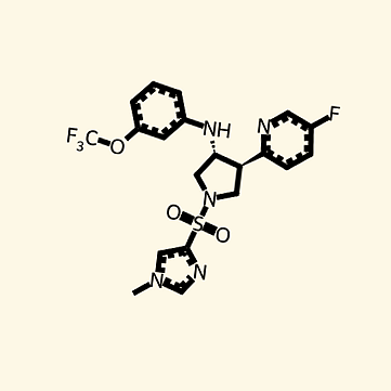 Cn1cnc(S(=O)(=O)N2C[C@H](Nc3cccc(OC(F)(F)F)c3)[C@@H](c3ccc(F)cn3)C2)c1